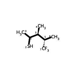 CC(S)[C@@H](C)[C@H](C)C(F)(F)F